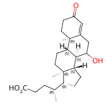 C[C@H](CCC(=O)O)[C@H]1CC[C@H]2[C@@H]3C(O)CC4=CC(=O)CC[C@]4(C)[C@H]3CC[C@]12C